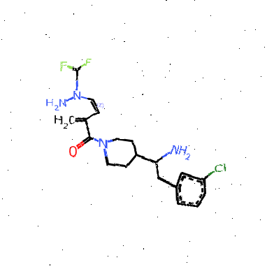 C=C(/C=C\N(N)C(F)F)C(=O)N1CCC(C(N)Cc2cccc(Cl)c2)CC1